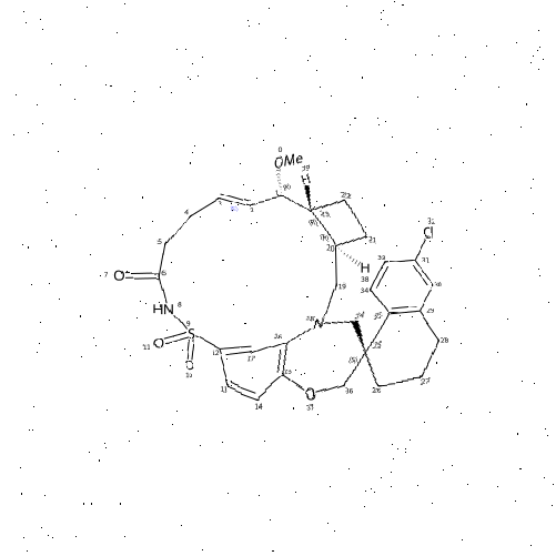 CO[C@H]1/C=C/CCC(=O)NS(=O)(=O)c2ccc3c(c2)N(C[C@@H]2CC[C@H]21)C[C@@]1(CCCc2cc(Cl)ccc21)CO3